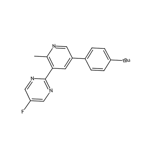 Cc1ncc(-c2ccc(C(C)(C)C)cc2)cc1-c1ncc(F)cn1